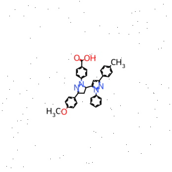 COc1ccc(C2=NN(c3ccc(C(=O)O)cc3)C(c3cc(-c4ccc(C)cc4)nn3-c3ccccc3)C2)cc1